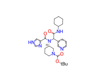 CC(C)(C)OC(=O)N1CCC[C@H](N(C(=O)c2c[nH]cn2)C(C(=O)NC2CCCCC2)c2cccnc2)C1